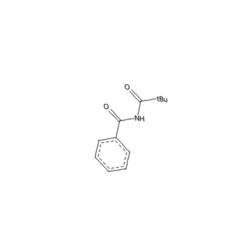 CC(C)(C)C(=O)NC(=O)c1ccccc1